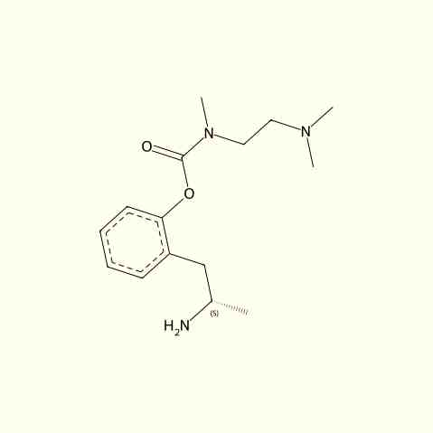 C[C@H](N)Cc1ccccc1OC(=O)N(C)CCN(C)C